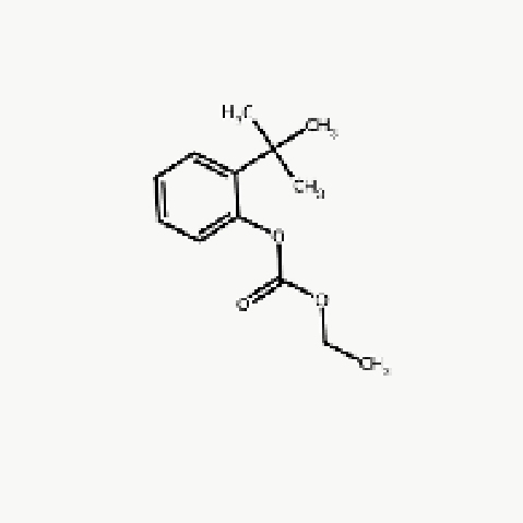 CCOC(=O)Oc1ccccc1C(C)(C)C